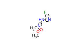 CCOC(=O)C(C)N1CC2C(C1)C2Nc1ccnc2ccc(F)cc12